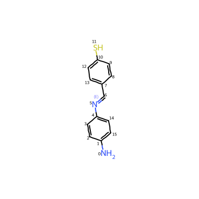 Nc1ccc(/N=C/c2ccc(S)cc2)cc1